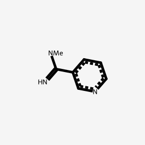 CNC(=N)c1cccnc1